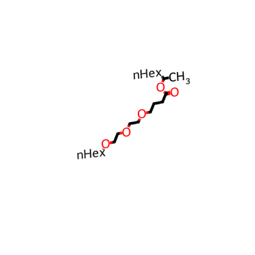 CCCCCCOCCOCCOCCCC(=O)OC(C)CCCCCC